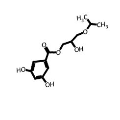 CC(C)OCC(O)COC(=O)c1cc(O)cc(O)c1